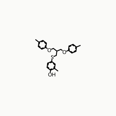 Cc1ccc(OCC(COc2ccc(C)cc2)CSc2ccc(O)c(C)c2)cc1